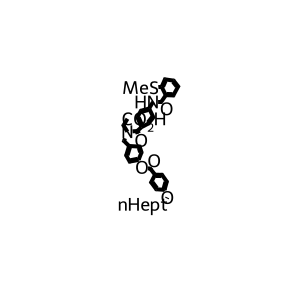 CCCCCCCOc1ccc(C(=O)Oc2ccc(CN(CC(=O)O)C(=O)c3ccc(NC(=O)c4ccccc4SC)cc3)cc2)cc1